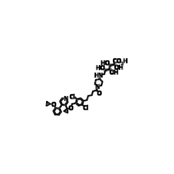 O=C(O)[C@@H](O)[C@@H](O)[C@H](O)[C@@H](O)CNC1CCN(C(=O)CCCCc2cc(Cl)c(COC3(c4cnccc4-c4ccccc4OC4CC4)CC3)cc2Cl)CC1